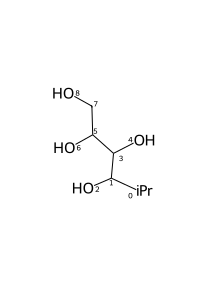 CC(C)C(O)C(O)C(O)CO